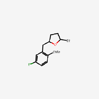 CCC1CCC(Cc2cc(F)ccc2OC)O1